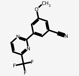 COc1cc(C#N)cc(-c2nccc(C(F)(F)F)n2)c1